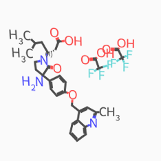 Cc1cc(COc2ccc(C3(N)CCN([C@@H](CC(=O)O)CC(C)C)C3=O)cc2)c2ccccc2n1.O=C(O)C(F)(F)F.O=C(O)C(F)(F)F